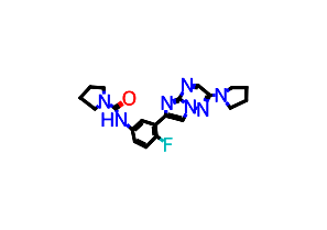 O=C(Nc1ccc(F)c(-c2cn3nc(N4CCCC4)cnc3n2)c1)N1CCCC1